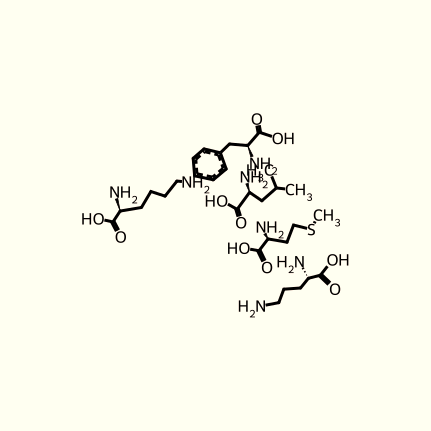 CC(C)C[C@H](N)C(=O)O.CSCC[C@H](N)C(=O)O.NCCCC[C@H](N)C(=O)O.NCCC[C@H](N)C(=O)O.N[C@@H](Cc1ccccc1)C(=O)O